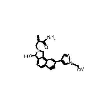 C=C(CN1Cc2c(ccc3ccc(-c4cnn(CC#N)c4)cc23)C1O)C(N)=O